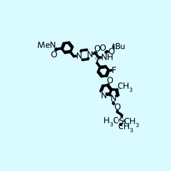 CNC(=O)c1cccc(CN2CCN(C(=O)[C@H](Cc3ccc(Oc4ccnc5c4c(C)cn5COCCS(C)(C)C)c(F)c3)NC(=O)OC(C)(C)C)CC2)c1